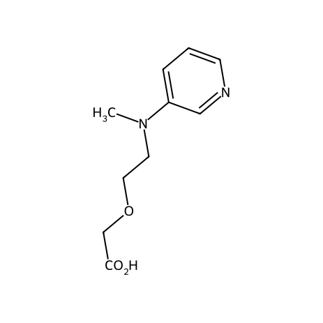 CN(CCOCC(=O)O)c1cccnc1